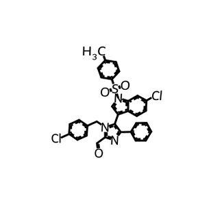 Cc1ccc(S(=O)(=O)n2cc(-c3c(-c4ccccc4)nc(C=O)n3Cc3ccc(Cl)cc3)c3ccc(Cl)cc32)cc1